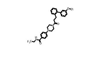 CCOc1cccc(-c2ccccc2CCC(=O)N2CCN(c3ccc(C(=O)NCC(F)(F)F)cc3)CC2)c1